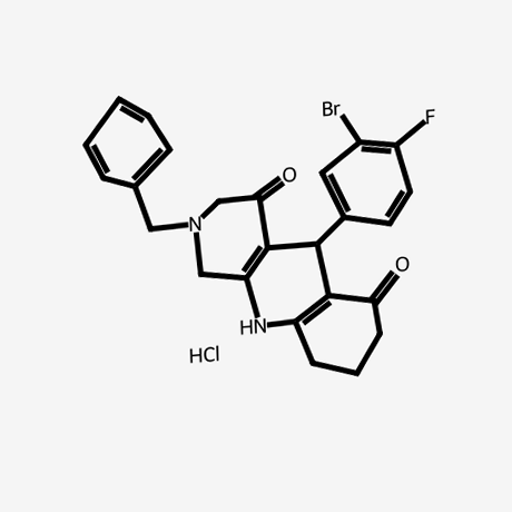 Cl.O=C1CCCC2=C1C(c1ccc(F)c(Br)c1)C1=C(CN(Cc3ccccc3)CC1=O)N2